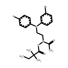 CCC(C)(C)C(=O)ON(CCN(c1ccc(F)cc1)c1cccc(Br)c1)C(C)=O